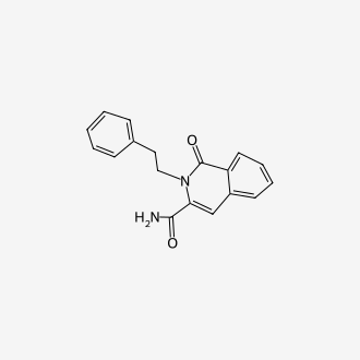 NC(=O)c1cc2ccccc2c(=O)n1CCc1ccccc1